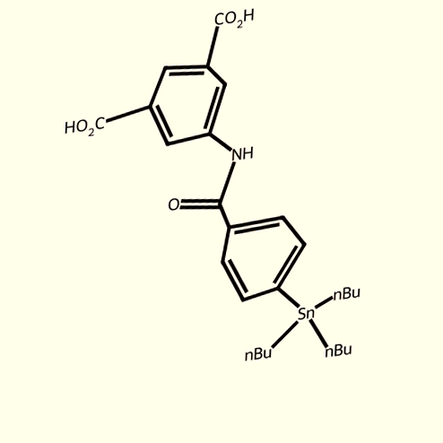 CCC[CH2][Sn]([CH2]CCC)([CH2]CCC)[c]1ccc(C(=O)Nc2cc(C(=O)O)cc(C(=O)O)c2)cc1